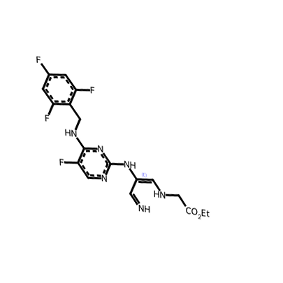 CCOC(=O)CN/C=C(\C=N)Nc1ncc(F)c(NCc2c(F)cc(F)cc2F)n1